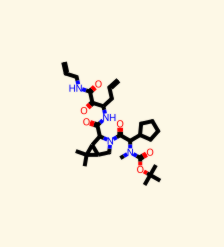 C=CCNC(=O)C(=O)C(CC=C)NC(=O)C1C2C(CN1C(=O)C(C1CCCC1)N(C)C(=O)OC(C)(C)C)C2(C)C